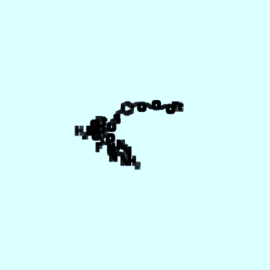 BP(=O)(OCC)O[C@H]1[C@@H](F)[C@H](n2cnc3c(N)ncnc32)O[C@@H]1COCSCc1ccc(COCCOCCOCC)cc1